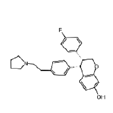 Oc1ccc2c(c1)OC[C@@H](c1ccc(F)cc1)[C@H]2c1ccc(CCN2CCCC2)cc1